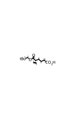 C=C.CC(C)(C)COC(=O)CCCCC(=O)O